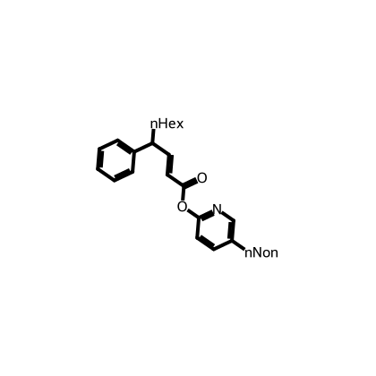 CCCCCCCCCc1ccc(OC(=O)/C=C/C(CCCCCC)c2ccccc2)nc1